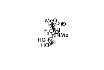 CNC(=O)c1nc(-c2cc(C(=O)N3CC(C)(O)C3)n(CCCO)c2)ccc1Nc1nc(Nc2ccc(CP=O)cc2OC)ncc1C(F)(F)F